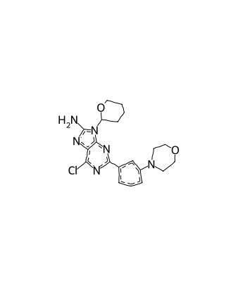 Nc1nc2c(Cl)nc(-c3cccc(N4CCOCC4)c3)nc2n1C1CCCCO1